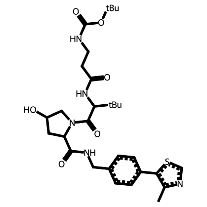 Cc1ncsc1-c1ccc(CNC(=O)C2CC(O)CN2C(=O)C(NC(=O)CCNC(=O)OC(C)(C)C)C(C)(C)C)cc1